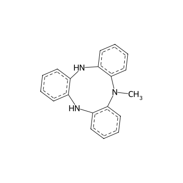 CN1c2ccccc2Nc2ccccc2Nc2ccccc21